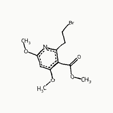 COC(=O)c1c(OC)cc(OC)nc1CCBr